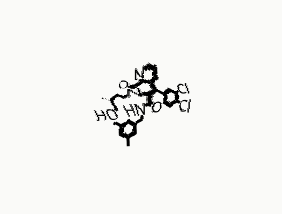 Cc1cc(C)cc(CNC(=O)c2c(-c3ccc(Cl)c(Cl)c3)c3cccnc3c(=O)n2CC[C@@H](C)CO)c1